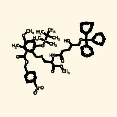 COC(=O)C(CSCc1c(O[Si](C)(C)C(C)(C)C)cc(OC)c(C)c1C(=O)OCc1ccc([N+](=O)[O-])cc1)NC(=O)CCC(O)COC(c1ccccc1)(c1ccccc1)c1ccccc1